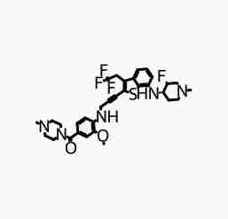 COc1cc(C(=O)N2CCN(C)CC2)ccc1NCC#Cc1sc2c(N[C@@H]3CCN(C)C[C@@H]3F)cccc2c1CC(F)(F)F